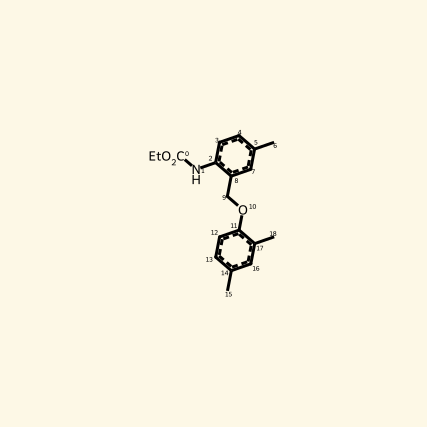 CCOC(=O)Nc1ccc(C)cc1COc1ccc(C)cc1C